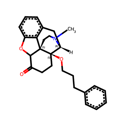 CN1CC[C@]23c4c5cccc4OC2C(=O)CC[C@@]3(OCCCc2ccccc2)[C@H]1C5